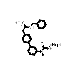 CCCCCCCNC(=O)N(C)c1cccc(-c2ccc(CC(NCc3ccccc3)C(=O)O)cc2)c1